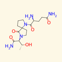 C[C@@H](O)[C@@H](C(N)=O)N1CCC2(CCCN2C(=O)[C@@H](N)CCC(N)=O)C1=O